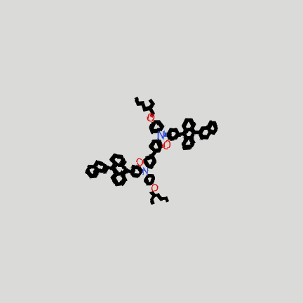 CCCCC(CC)COc1ccc(N2c3ccc(-c4ccc5c(c4)Oc4cc(-c6c7ccccc7c(-c7ccc8ccccc8c7)c7ccccc67)ccc4N5c4ccc(OCC(CC)CCCC)cc4)cc3Oc3cc(-c4c5ccccc5c(-c5ccc6ccccc6c5)c5ccccc45)ccc32)cc1